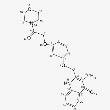 Cc1c(COc2cccc(OCC(=O)N3CCOCC3)c2)[nH]c2ccccc2c1=O